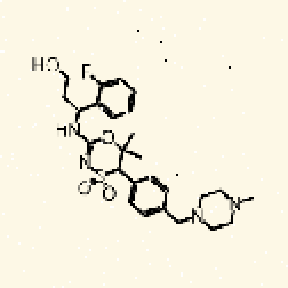 CN1CCN(Cc2ccc(C3C(C)(C)OC(N[C@@H](CCO)c4ccccc4F)=NS3(=O)=O)cc2)CC1